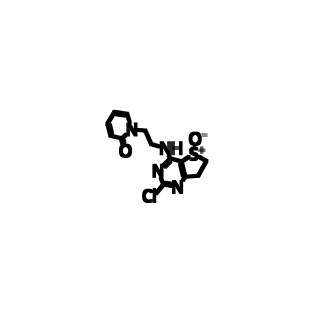 O=c1ccccn1CCNc1nc(Cl)nc2c1[S@+]([O-])CC2